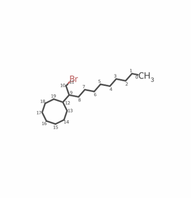 CCCCCCCCCC(CBr)C1CCCCCCC1